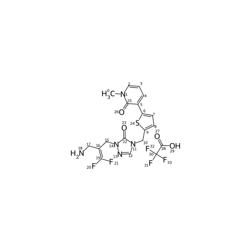 Cn1cccc(-c2ccc(Cn3cnn(CC(CN)=C(F)F)c3=O)s2)c1=O.O=C(O)C(F)(F)F